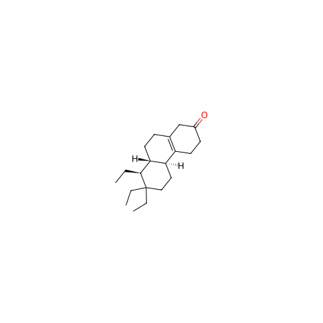 CC[C@H]1[C@@H]2CCC3=C(CCC(=O)C3)[C@H]2CCC1(CC)CC